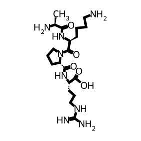 C[C@H](N)C(=O)N[C@@H](CCCCN)C(=O)N1CCC[C@H]1C(=O)N[C@@H](CCCNC(=N)N)C(=O)O